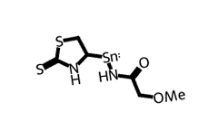 COCC(=O)[NH][Sn][CH]1CSC(=S)N1